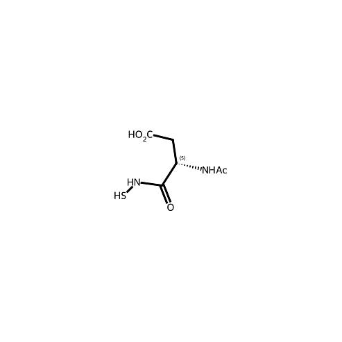 CC(=O)N[C@@H](CC(=O)O)C(=O)NS